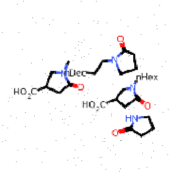 CCCCCCCCCCCCN1CCCC1=O.CCCCCCN1CC(C(=O)O)CC1=O.CN1CC(C(=O)O)CC1=O.O=C1CCCN1